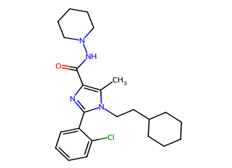 Cc1c(C(=O)NN2CCCCC2)nc(-c2ccccc2Cl)n1CCC1CCCCC1